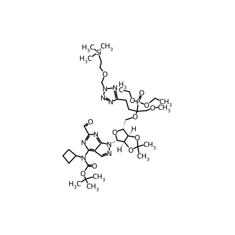 CCOP(=O)(OCC)C(CCc1nnn(COCC[Si](C)(C)C)n1)(COC)OC[C@H]1O[C@@H](n2ncc3c(N(C(=O)OC(C)(C)C)C4CCC4)nc(C=O)nc32)[C@@H]2OC(C)(C)O[C@@H]21